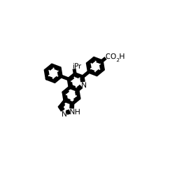 CC(C)c1c(-c2ccc(C(=O)O)cc2)nc2cc3[nH]ncc3cc2c1-c1ccccc1